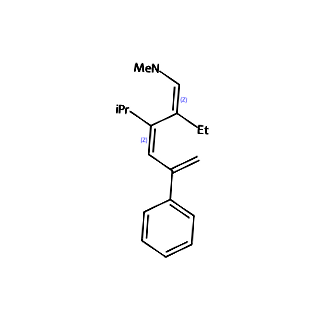 C=C(/C=C(\C(=C/NC)CC)C(C)C)c1ccccc1